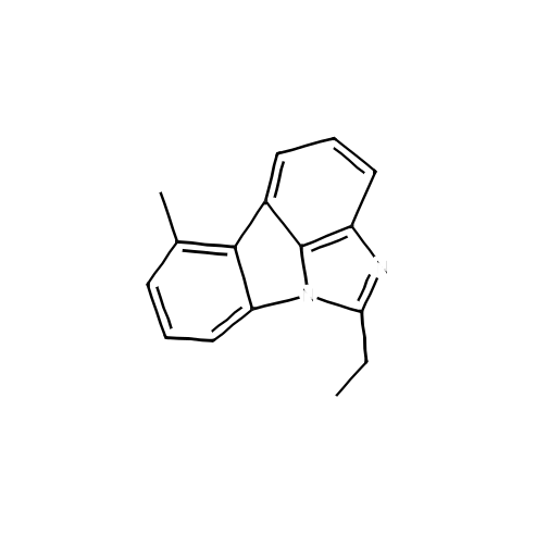 CCc1nc2cccc3c4c(C)cccc4n1c23